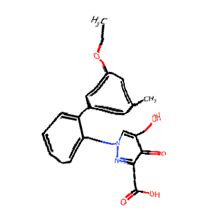 CCOc1cc(C)cc(-c2ccccc2-n2cc(O)c(=O)c(C(=O)O)n2)c1